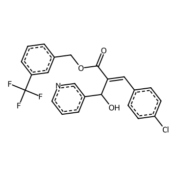 O=C(OCc1cccc(C(F)(F)F)c1)C(=Cc1ccc(Cl)cc1)C(O)c1cccnc1